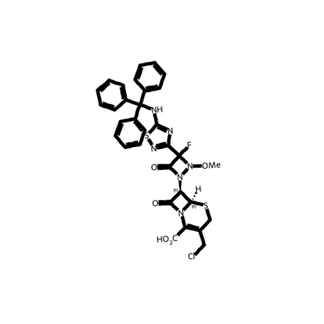 CON1N([C@@H]2C(=O)N3C(C(=O)O)=C(CCl)CS[C@H]23)C(=O)C1(F)c1nsc(NC(c2ccccc2)(c2ccccc2)c2ccccc2)n1